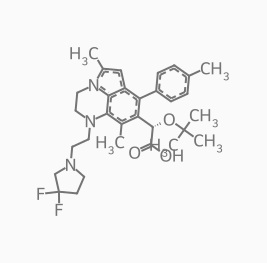 Cc1ccc(-c2c([C@H](OC(C)(C)C)C(=O)O)c(C)c3c4c2cc(C)n4CCN3CCN2CCC(F)(F)C2)cc1